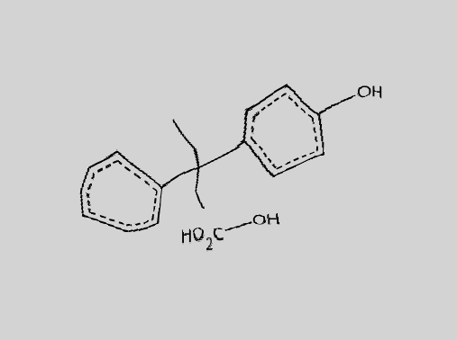 CC(C)(c1ccccc1)c1ccc(O)cc1.O=C(O)O